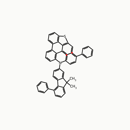 CC1(C)c2cc(N(c3ccc(-c4ccccc4)cc3)c3cccc4c5cccc6sc7cccc(c34)c7c65)ccc2-c2c(-c3ccccc3)cccc21